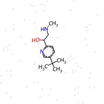 CNCC(O)c1ccc(C(C)(C)C)cn1